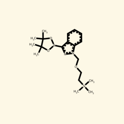 CC1(C)OB(c2nn(COCC[Si](C)(C)C)c3ccccc23)OC1(C)C